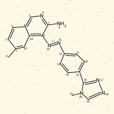 Cc1ccc2cnc(N)c(/N=N/c3ccc(-c4nncn4C)cc3)c2c1